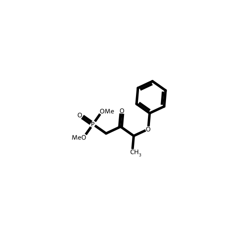 COP(=O)(CC(=O)C(C)Oc1ccccc1)OC